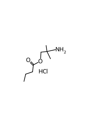 CCCC(=O)OCC(C)(C)N.Cl